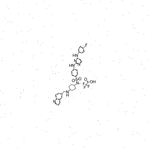 CN(C1CCC(NCc2ccc3ncccc3c2)CC1)S(=O)(=O)c1ccc(Nc2nccc(Nc3ccc(F)cc3)n2)cc1.O=C(O)C(F)(F)F